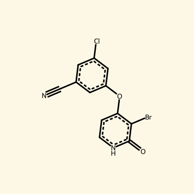 N#Cc1cc(Cl)cc(Oc2cc[nH]c(=O)c2Br)c1